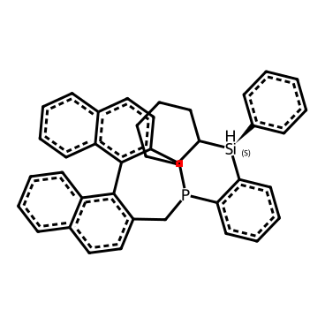 c1ccc([Si@@H](c2ccccc2P2Cc3ccc4ccccc4c3-c3c(ccc4ccccc34)C2)C2CCCCC2)cc1